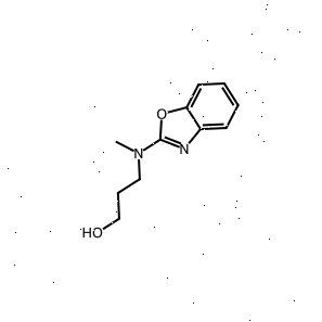 CN(CCCO)c1nc2ccccc2o1